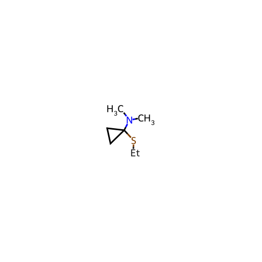 CCSC1(N(C)C)CC1